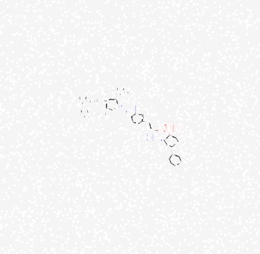 COc1cc(NCc2ccc(C=CC(=O)Nc3cc(-c4ccccc4)ccc3O)cc2)cc(OC)c1OC